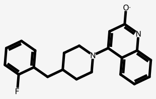 [O]c1cc(N2CCC(Cc3ccccc3F)CC2)c2ccccc2n1